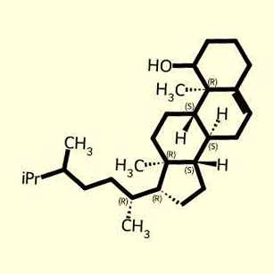 CC(C)C(C)CC[C@@H](C)[C@H]1CC[C@H]2[C@@H]3CC=C4CCCC(O)[C@]4(C)[C@H]3CC[C@]12C